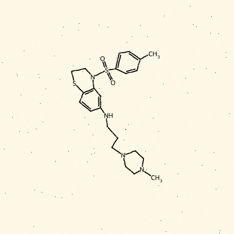 Cc1ccc(S(=O)(=O)N2CCSc3ccc(NCCCN4CCN(C)CC4)cc32)cc1